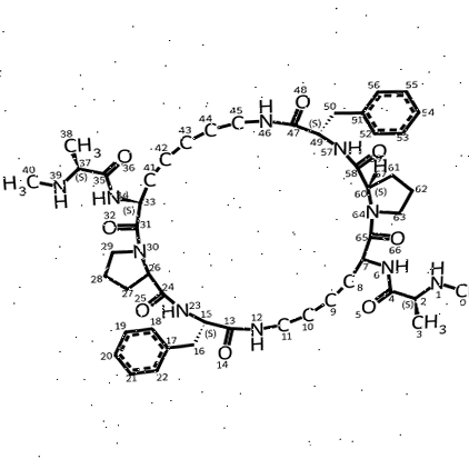 CN[C@@H](C)C(=O)NC1CCCCNC(=O)[C@H](Cc2ccccc2)NC(=O)C2CCCN2C(=O)[C@@H](NC(=O)[C@H](C)NC)CCCCCNC(=O)[C@H](Cc2ccccc2)NC(=O)[C@@H]2CCCN2C1=O